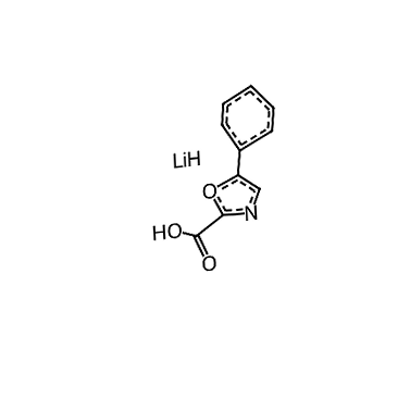 O=C(O)c1ncc(-c2ccccc2)o1.[LiH]